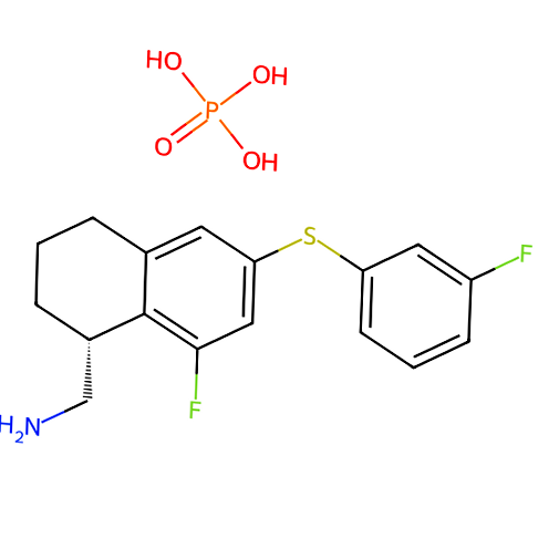 NC[C@@H]1CCCc2cc(Sc3cccc(F)c3)cc(F)c21.O=P(O)(O)O